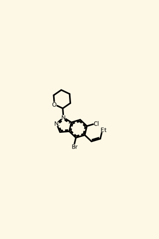 CC/C=C\c1c(Cl)cc2c(cnn2C2CCCCO2)c1Br